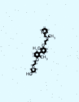 Cc1c(OCCCN(C)Cc2ccccn2)cccc1-c1cccc(OCCCN2CC[C@@H](O)C2)c1C